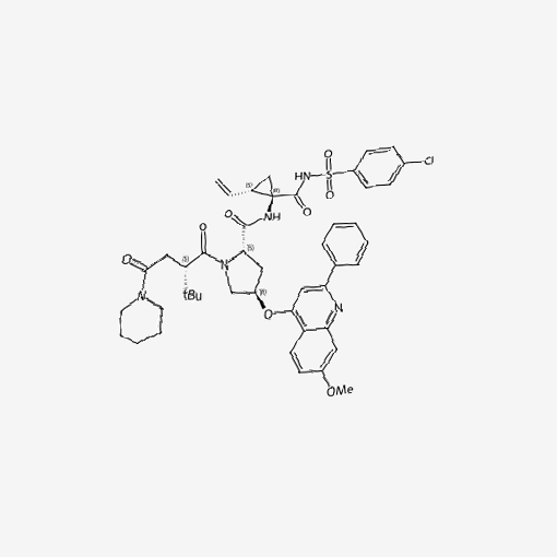 C=C[C@@H]1C[C@]1(NC(=O)[C@@H]1C[C@@H](Oc2cc(-c3ccccc3)nc3cc(OC)ccc23)CN1C(=O)[C@@H](CC(=O)N1CCCCC1)C(C)(C)C)C(=O)NS(=O)(=O)c1ccc(Cl)cc1